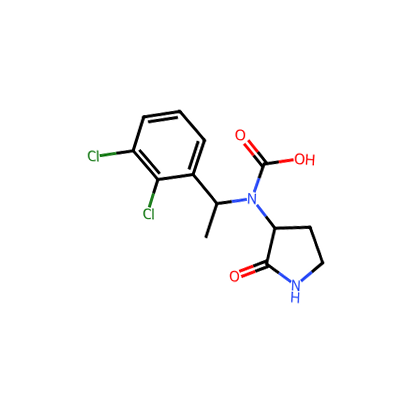 CC(c1cccc(Cl)c1Cl)N(C(=O)O)C1CCNC1=O